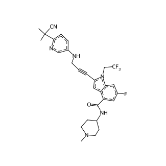 CN1CCC(NC(=O)c2cc(F)cc3c2cc(C#CCNc2ccc(C(C)(C)C#N)nc2)n3CC(F)(F)F)CC1